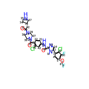 Cn1c(-c2ccc(OCF)c(F)c2Cl)cnc1C(=O)Nc1ccc(C(=O)N2CCN(C(=O)C[C@@H]3CCNC3)CC2)c(Cl)c1